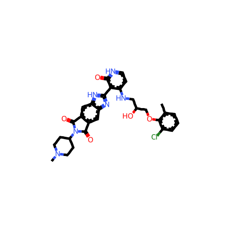 Cc1cccc(Cl)c1OCC(O)CNc1cc[nH]c(=O)c1-c1nc2cc3c(cc2[nH]1)C(=O)N(C1CCN(C)CC1)C3=O